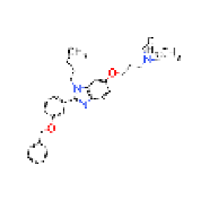 CCCCn1c(-c2cccc(OCc3ccccc3)c2)nc2ccc(OCCCN(CC)CC)cc21